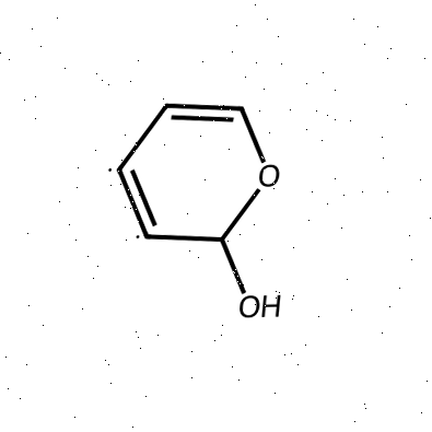 OC1[C]=[C]C=CO1